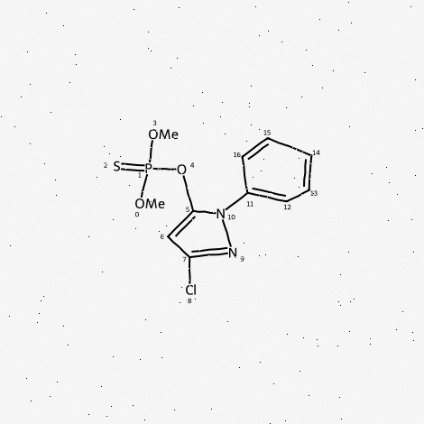 COP(=S)(OC)Oc1cc(Cl)nn1-c1ccccc1